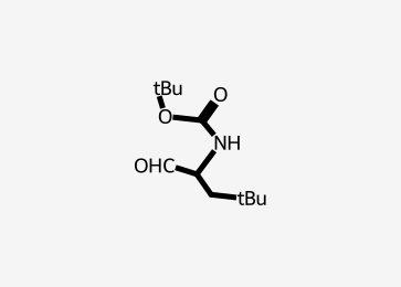 CC(C)(C)CC(C=O)NC(=O)OC(C)(C)C